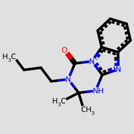 CCCCN1C(=O)n2c(nc3ccccc32)NC1(C)C